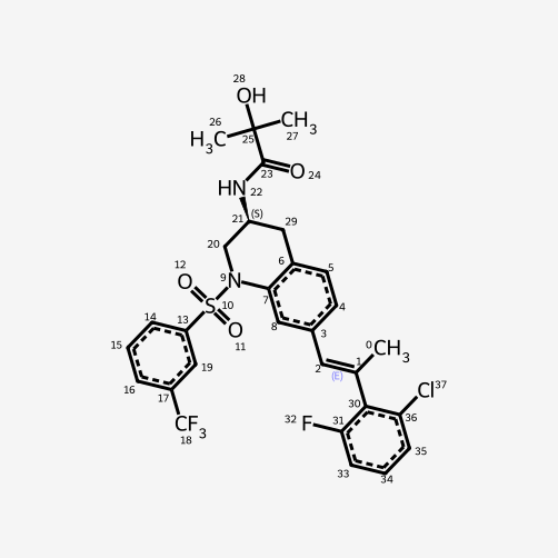 C/C(=C\c1ccc2c(c1)N(S(=O)(=O)c1cccc(C(F)(F)F)c1)C[C@@H](NC(=O)C(C)(C)O)C2)c1c(F)cccc1Cl